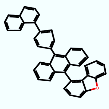 c1ccc2c(-c3ccc(-c4c5ccccc5c(-c5cccc6oc7ccccc7c56)c5ccccc45)cc3)cccc2c1